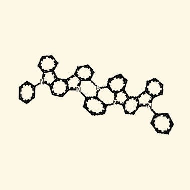 c1ccc(-n2c3ccccc3c3c4c5cccc6c5n(c4ccc32)-c2cccc3c2B6c2cccc4c5c6c7ccccc7n(-c7ccccc7)c6ccc5n-3c24)cc1